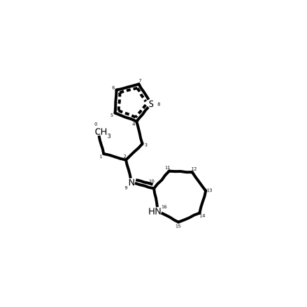 CCC(Cc1cccs1)N=C1CCCCCN1